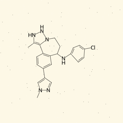 CC1=C2c3ccc(-c4cnn(C)c4)cc3C(Nc3ccc(Cl)cc3)CCN2NN1